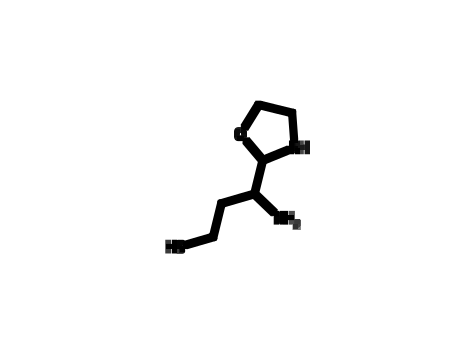 NC(CCS)C1NCCO1